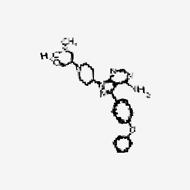 CN(C)CC(C=O)N1CCC(n2nc(-c3ccc(Oc4ccccc4)cc3)c3c(N)ncnc32)CC1